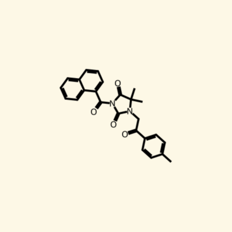 Cc1ccc(C(=O)CN2C(=O)N(C(=O)c3cccc4ccccc34)C(=O)C2(C)C)cc1